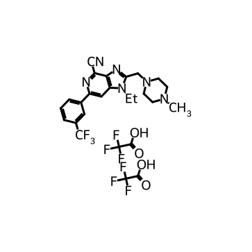 CCn1c(CN2CCN(C)CC2)nc2c(C#N)nc(-c3cccc(C(F)(F)F)c3)cc21.O=C(O)C(F)(F)F.O=C(O)C(F)(F)F